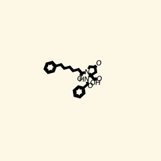 O=C1CN(C(=O)CCCCCc2ccccc2)C(NC(=O)c2ccccc2)(C(=O)O)C1